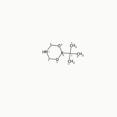 CC(C)(C)B1OCNCO1